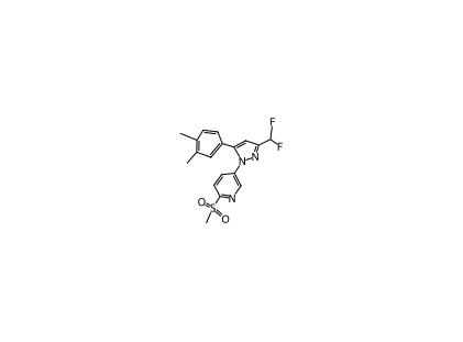 Cc1ccc(-c2cc(C(F)F)nn2-c2ccc(S(C)(=O)=O)nc2)cc1C